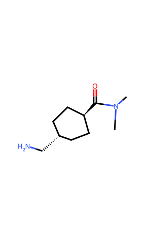 CN(C)C(=O)[C@H]1CC[C@H](CN)CC1